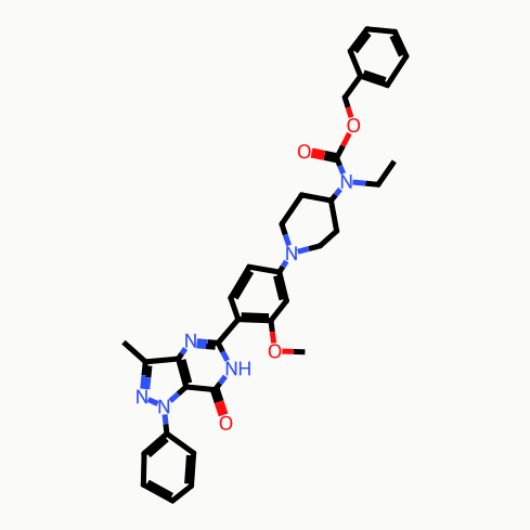 CCN(C(=O)OCc1ccccc1)C1CCN(c2ccc(-c3nc4c(C)nn(-c5ccccc5)c4c(=O)[nH]3)c(OC)c2)CC1